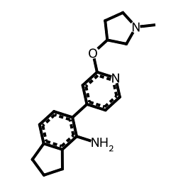 CN1CCC(Oc2cc(-c3ccc4c(c3N)CCC4)ccn2)C1